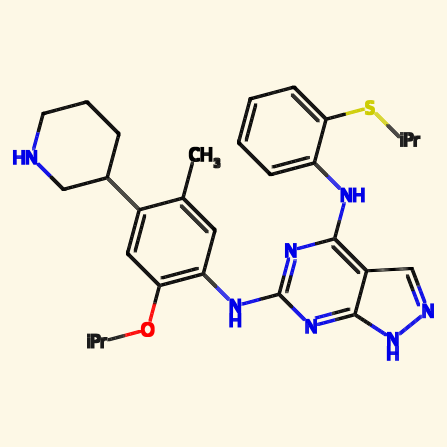 Cc1cc(Nc2nc(Nc3ccccc3SC(C)C)c3cn[nH]c3n2)c(OC(C)C)cc1C1CCCNC1